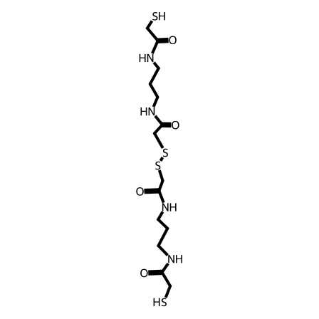 O=C(CS)NCCCNC(=O)CSSCC(=O)NCCCNC(=O)CS